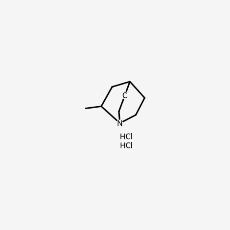 CC1CC2CCN1CC2.Cl.Cl